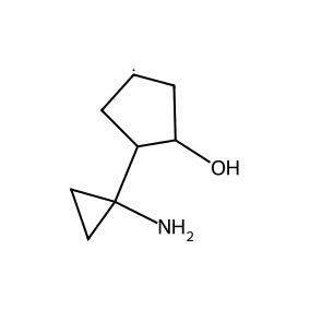 NC1(C2C[CH]CC2O)CC1